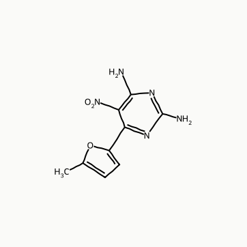 Cc1ccc(-c2nc(N)nc(N)c2[N+](=O)[O-])o1